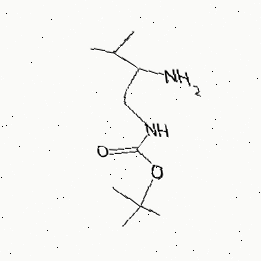 CC(C)C(N)CNC(=O)OC(C)(C)C